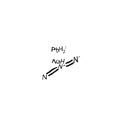 [N-]=[N+]=[N-].[NaH].[PbH2]